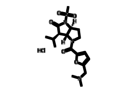 CC(C)[C@H]1C(=O)N(S(C)(=O)=O)[C@H]2CCN(C(=O)c3ccc(CN(C)C)o3)[C@H]12.Cl